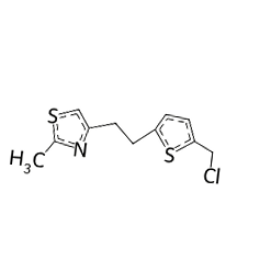 Cc1nc(CCc2ccc(CCl)s2)cs1